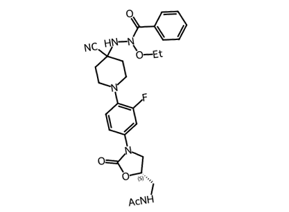 CCON(NC1(C#N)CCN(c2ccc(N3C[C@H](CNC(C)=O)OC3=O)cc2F)CC1)C(=O)c1ccccc1